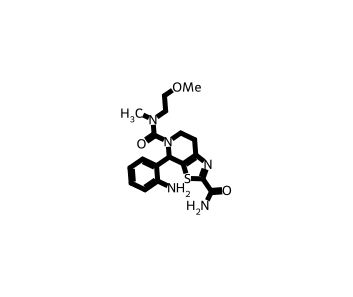 COCCN(C)C(=O)N1CCc2nc(C(N)=O)sc2C1c1ccccc1N